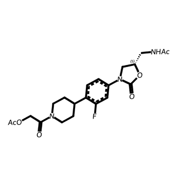 CC(=O)NC[C@H]1CN(c2ccc(C3CCN(C(=O)COC(C)=O)CC3)c(F)c2)C(=O)O1